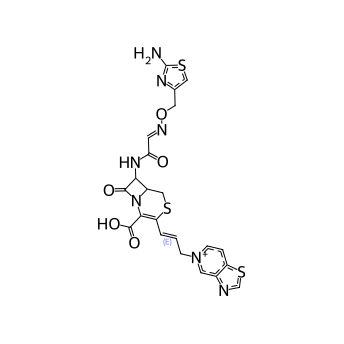 Nc1nc(CON=CC(=O)NC2C(=O)N3C(C(=O)O)=C(/C=C/C[n+]4ccc5scnc5c4)SCC23)cs1